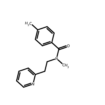 Cc1ccc(C(=O)N(C)CCc2ccccn2)cc1